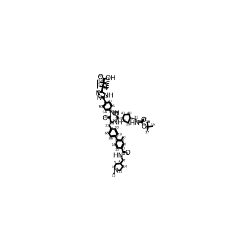 Cc1cc(C(=O)NCC2CCN(C)CC2)ccc1-c1ccc(C[C@H](NC(=O)[C@H]2CC[C@H](CNC(=O)OC(C)(C)C)CC2)C(=O)Nc2ccc(-c3nnc(C(F)(F)C(F)(F)C(=O)O)[nH]3)cc2)cc1